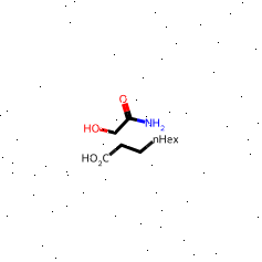 CCCCCCCCC(=O)O.NC(=O)CO